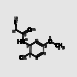 COc1ccc(Cl)c(NC(=O)CF)c1